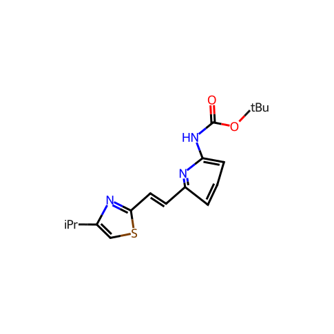 CC(C)c1csc(C=Cc2cccc(NC(=O)OC(C)(C)C)n2)n1